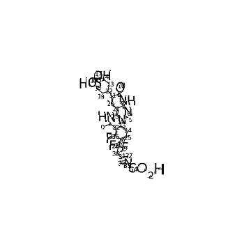 CC(Nc1ncnc2[nH]c(=O)c(C3CCS(O)(O)CC3)cc12)c1cccc(C(F)(F)CC2CN(C(=O)O)C2)c1F